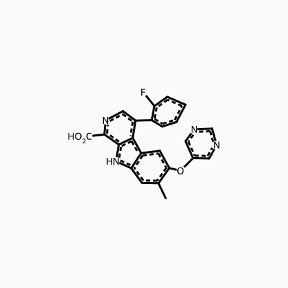 Cc1cc2[nH]c3c(C(=O)O)ncc(-c4ccccc4F)c3c2cc1Oc1cncnc1